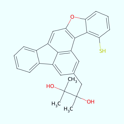 CC(C)(O)C(C)(O)Cc1cc2c3c(cc4oc5cccc(S)c5c4c3c1)-c1ccccc1-2